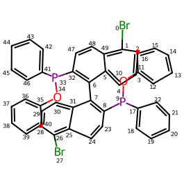 Brc1cccc2c(-c3c(P(Oc4ccccc4)c4ccccc4)ccc4c(Br)cccc34)c(P(Oc3ccccc3)c3ccccc3)ccc12